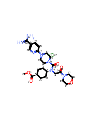 COC(=O)[C@H]1CC[C@H](N(CC(=O)N2CCOCC2)C(=O)N2CCN(c3ccc(C(=N)N)cn3)CC2)CC1.Cl